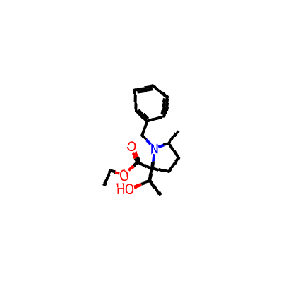 CCOC(=O)C1(C(C)O)CCC(C)N1Cc1ccccc1